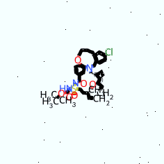 C=CCCCS(=O)(=NC(=O)c1ccc2c(c1)N(C[C@@H]1CC[C@H]1[C@H](C=C)OC)Cc1ccc(Cl)cc1CCCCO2)NC(=O)OC(C)(C)C